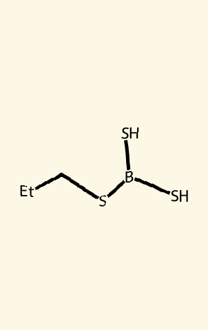 CCCSB(S)S